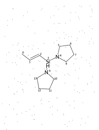 CC=C[SiH](N1CCCC1)N1CCCC1